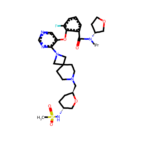 CC(C)N(C(=O)c1cccc(F)c1Oc1cncnc1N1CC2(CCN(C[C@@H]3CC[C@@H](NS(C)(=O)=O)CO3)CC2)C1)[C@@H]1CCOC1